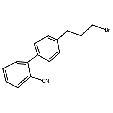 N#Cc1ccccc1-c1ccc(CCCBr)cc1